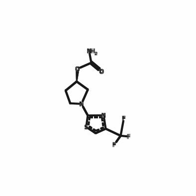 NC(=O)O[C@@H]1CCN(c2nc(C(F)(F)F)cs2)C1